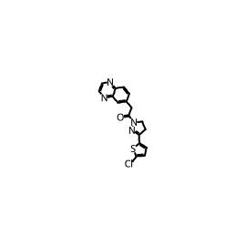 O=C(Cc1ccc2nccnc2c1)N1CCC(c2ccc(Cl)s2)=N1